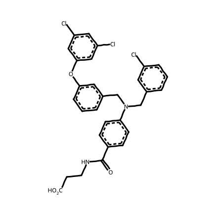 O=C(O)CCNC(=O)c1ccc(N(Cc2cccc(Cl)c2)Cc2cccc(Oc3cc(Cl)cc(Cl)c3)c2)cc1